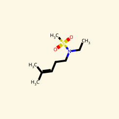 CCN(CCC=C(C)C)S(C)(=O)=O